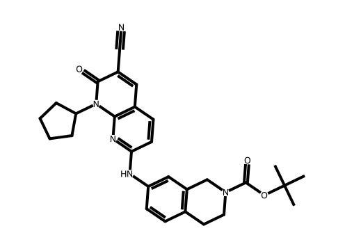 CC(C)(C)OC(=O)N1CCc2ccc(Nc3ccc4cc(C#N)c(=O)n(C5CCCC5)c4n3)cc2C1